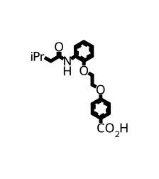 CC(C)CC(=O)Nc1ccccc1OCCOc1ccc(C(=O)O)cc1